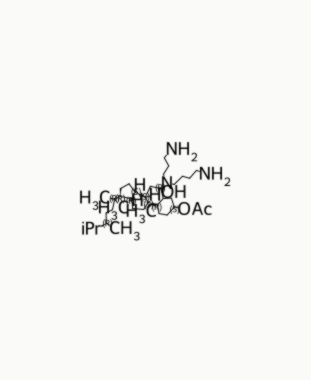 CC(=O)O[C@H]1CC[C@]2(C)[C@H]3CC[C@]4(C)[C@@H]([C@H](C)CC[C@@H](C)C(C)C)CC[C@H]4[C@@H]3C[C@@H](N(CCCN)CCCCN)C2(O)C1